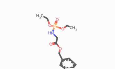 CCOP(=O)(NCC(=O)OCc1ccccc1)OCC